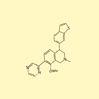 COc1c(-c2cnccn2)ccc2c1CN(C)CC2c1ccc2ccsc2c1